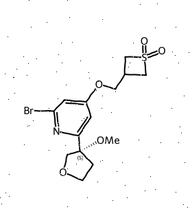 CO[C@]1(c2cc(OCC3CS(=O)(=O)C3)cc(Br)n2)CCOC1